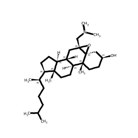 CC(C)CCC[C@@H](C)[C@H]1CC[C@H]2[C@@H]3C[C@]4(CN(C)C)O[C@]45C[C@@H](O)CC[C@]5(C)[C@H]3CC[C@]12C